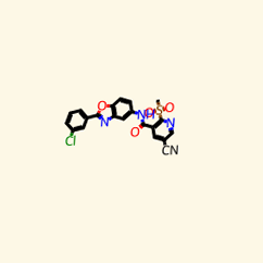 CS(=O)(=O)c1ncc(C#N)cc1C(=O)Nc1ccc2oc(-c3cccc(Cl)c3)nc2c1